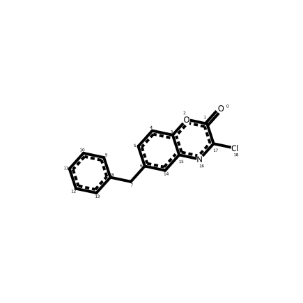 O=c1oc2ccc(Cc3ccccc3)cc2nc1Cl